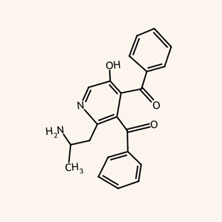 CC(N)Cc1ncc(O)c(C(=O)c2ccccc2)c1C(=O)c1ccccc1